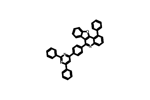 c1ccc(-c2cc(-c3ccc(-c4nc5cccc(-c6ccccc6)c5c5oc6ccccc6c45)cc3)nc(-c3ccccc3)n2)cc1